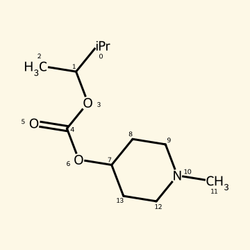 CC(C)C(C)OC(=O)OC1CCN(C)CC1